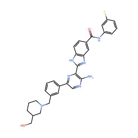 Nc1ncc(-c2cccc(CN3CCCC(CO)C3)c2)nc1-c1nc2cc(C(=O)Nc3cccc(F)c3)ccc2[nH]1